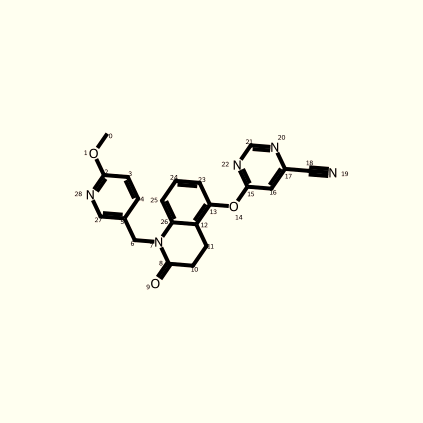 COc1ccc(CN2C(=O)CCc3c(Oc4cc(C#N)ncn4)cccc32)cn1